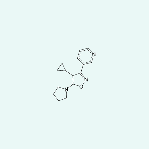 c1cncc(C2=NOC(N3CCCC3)C2C2CC2)c1